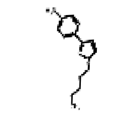 CCCCCn1ccc(-c2ccc(N)cc2)n1